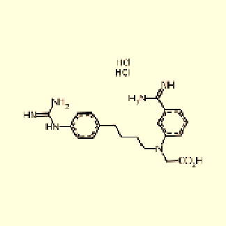 Cl.Cl.N=C(N)Nc1ccc(CCCCN(CC(=O)O)c2cccc(C(=N)N)c2)cc1